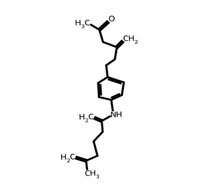 C=C(C)CCCC(=C)Nc1ccc(CCC(=C)CC(C)=O)cc1